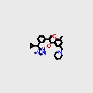 Cc1cc(CN2CCCCC2)cc2c(=O)c(-c3cccc(C(c4nncn4C)C4CC4)c3)coc12